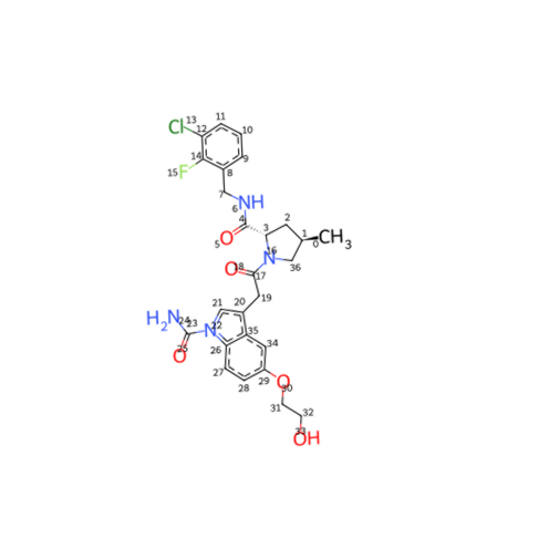 C[C@@H]1C[C@@H](C(=O)NCc2cccc(Cl)c2F)N(C(=O)Cc2cn(C(N)=O)c3ccc(OCCO)cc23)C1